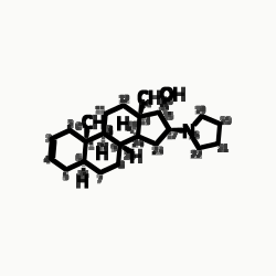 C[C@]12CC=CC[C@@H]1CC[C@@H]1[C@@H]2CC[C@]2(C)[C@H](O)[C@@H](N3CCCC3)C[C@@H]12